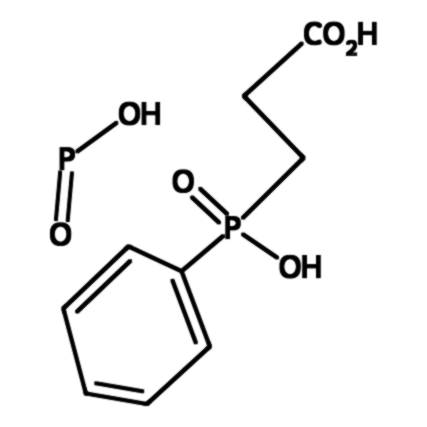 O=C(O)CCP(=O)(O)c1ccccc1.O=PO